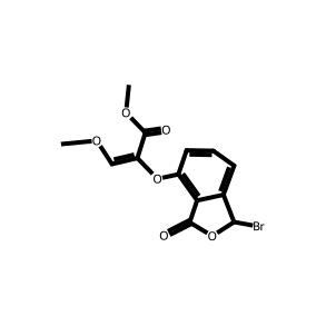 COC=C(Oc1cccc2c1C(=O)OC2Br)C(=O)OC